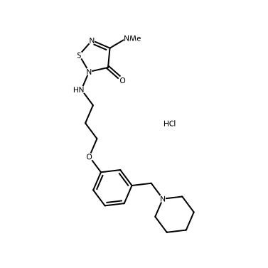 CNc1nsn(NCCCOc2cccc(CN3CCCCC3)c2)c1=O.Cl